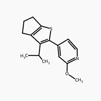 COc1cc(-c2sc3c(c2C(C)C)CCC3)ccn1